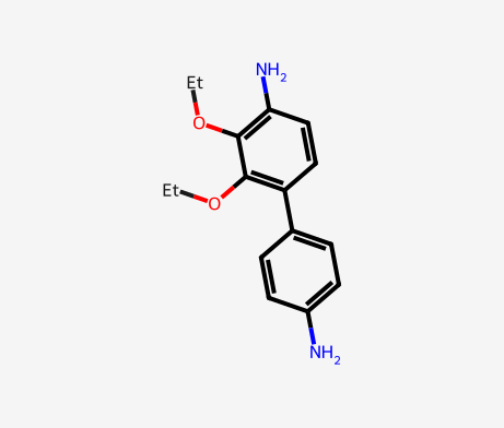 CCOc1c(N)ccc(-c2ccc(N)cc2)c1OCC